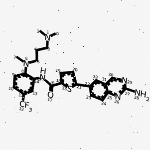 CN(C)CCCN(C)c1ccc(C(F)(F)F)cc1NC(=O)c1ccc(-c2ccc3nc(N)ncc3c2)s1